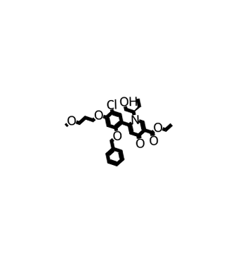 CCOC(=O)c1cn([C@H](CC)CO)c(-c2cc(Cl)c(OCCCOC)cc2OCc2ccccc2)cc1=O